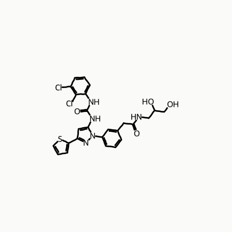 O=C(Cc1cccc(-n2nc(-c3cccs3)cc2NC(=O)Nc2cccc(Cl)c2Cl)c1)NCC(O)CO